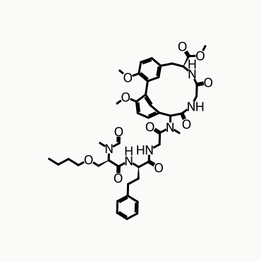 CCCCOC[C@H](C(=O)N[C@H](CCc1ccccc1)C(=O)NCC(=O)N(C)C1C(=O)NCC(=O)N[C@H](C(=O)OC)Cc2ccc(OC)c(c2)-c2cc1ccc2OC)N(C)C=O